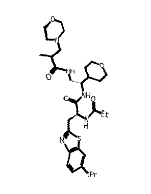 CCC(=O)N[C@@H](Cc1nc2ccc(C(C)C)cc2s1)C(=O)N[C@H](CNC(=O)C(C)CN1CCOCC1)C1CCOCC1